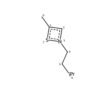 Cc1cn(CCC(C)C)s1